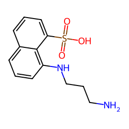 NCCCNc1cccc2cccc(S(=O)(=O)O)c12